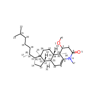 COC1CC(=O)N(C)C2=CC[C@H]3[C@@H]4CC[C@H]([C@H](C)CCCC(C)C)[C@@]4(C)CC[C@@H]3[C@]21C